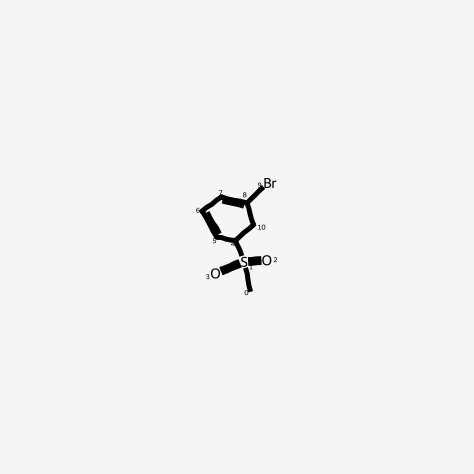 CS(=O)(=O)C1C=CC=C(Br)C1